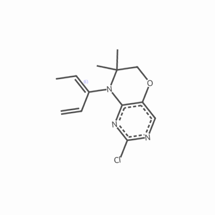 C=C/C(=C\C)N1c2nc(Cl)ncc2OCC1(C)C